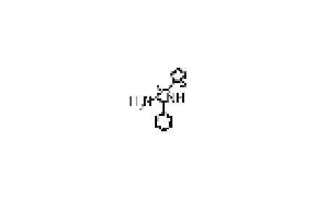 NC1=C(c2ccccc2)NC(c2cccs2)S1